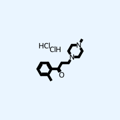 Cc1ccccc1C(=O)CCN1CCN(C)CC1.Cl.Cl